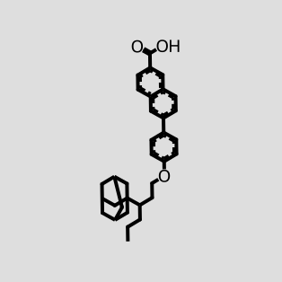 CCCC(CCOc1ccc(-c2ccc3cc(C(=O)O)ccc3c2)cc1)C12CC3CC(CC(C3)C1)C2